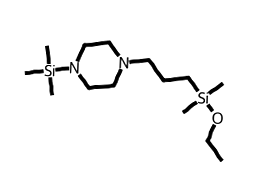 CCO[Si](C)(C)CCCN1CCN([Si](C)(C)C)CC1